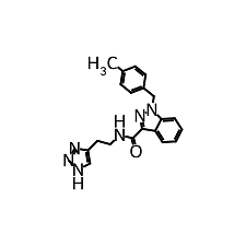 Cc1ccc(Cn2nc(C(=O)NCCc3c[nH]nn3)c3ccccc32)cc1